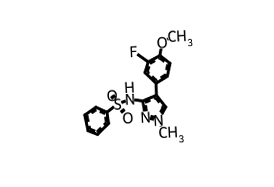 COc1ccc(-c2cn(C)nc2NS(=O)(=O)c2ccccc2)cc1F